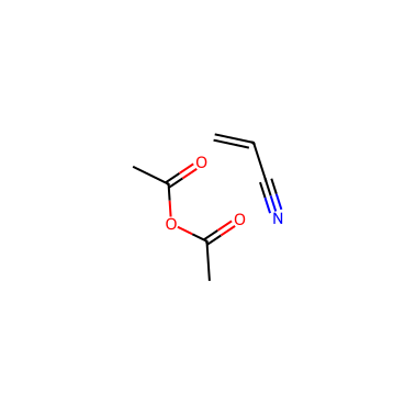 C=CC#N.CC(=O)OC(C)=O